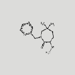 CNC1CCC(C)(C)CN(Cc2cnccn2)C1=O